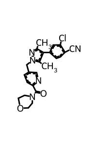 Cc1nn(Cc2ccc(C(=O)N3CCOCC3)nc2)c(C)c1-c1ccc(C#N)c(Cl)c1